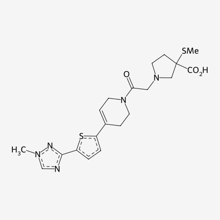 CSC1(C(=O)O)CCN(CC(=O)N2CC=C(c3ccc(-c4ncn(C)n4)s3)CC2)C1